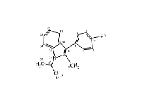 Cc1c(-c2ccc(F)cc2)c2ccccc2n1C(C)C